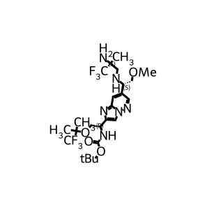 COC[C@@H](NC[C@](C)(N)C(F)(F)F)c1cnn2cc([C@H](COC(C)(C)C(F)(F)F)NC(=O)OC(C)(C)C)nc2c1